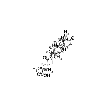 CN1C(=O)C=C[C@]2(C)[C@H]3CC[C@]4(C)C(NC(=O)CCC(C)(C)C(=O)O)CC[C@H]4[C@@H]3CC[C@@H]12